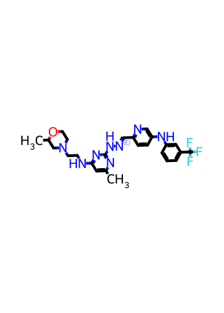 Cc1cc(NCCN2CCOC(C)C2)nc(N/N=C/c2ccc(Nc3cccc(C(F)(F)F)c3)cn2)n1